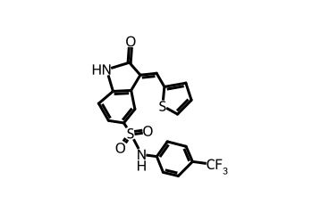 O=C1Nc2ccc(S(=O)(=O)Nc3ccc(C(F)(F)F)cc3)cc2C1=Cc1cccs1